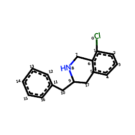 Clc1cccc2c1CNC(Cc1ccccc1)C2